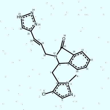 Cn1ncc(Cl)c1CC1c2ccccc2C(=O)N1C/C=C/c1c[nH]nn1